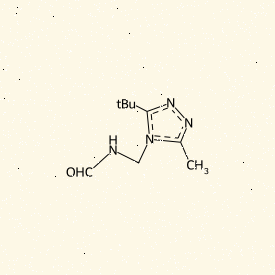 Cc1nnc(C(C)(C)C)n1CNC=O